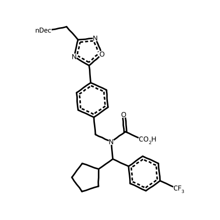 CCCCCCCCCCCc1noc(-c2ccc(CN(C(=O)C(=O)O)C(c3ccc(C(F)(F)F)cc3)C3CCCC3)cc2)n1